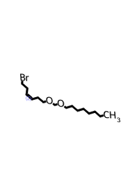 CCCCCCCCOCOCC/C=C\CCBr